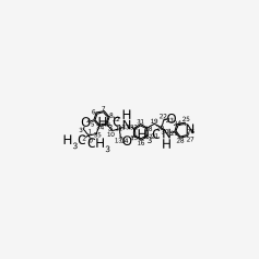 CC1(C)COc2cccc(CC3(C)COc4ccc(CC5(C)COc6cnccc6N5)cc4N3)c2C1